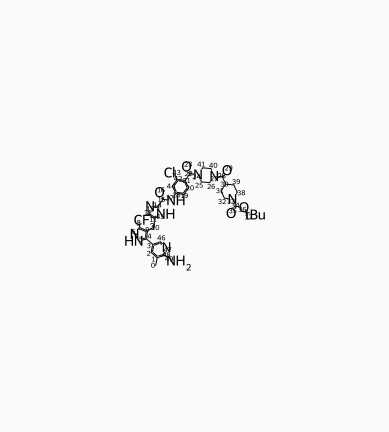 Cc1cc(-c2[nH]nc(C(F)(F)F)c2Cc2cnc(C(=O)Nc3ccc(C(=O)N4CCN(C(=O)C5CCN(C(=O)OC(C)(C)C)CC5)CC4)c(Cl)c3)[nH]2)cnc1N